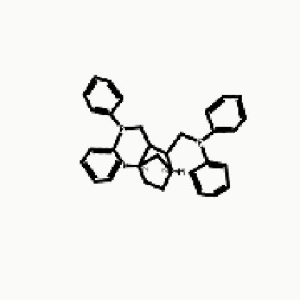 c1ccc(P(CC2C(CP(c3ccccc3)c3ccccc3)[C@H]3CC[C@H]2C3)c2ccccc2)cc1